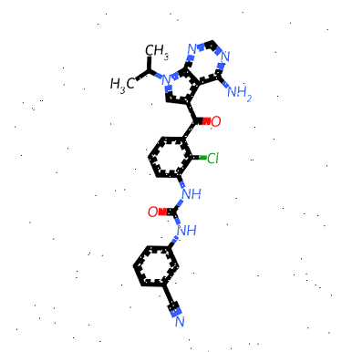 CC(C)n1cc(C(=O)c2cccc(NC(=O)Nc3cccc(C#N)c3)c2Cl)c2c(N)ncnc21